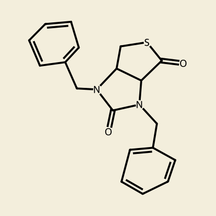 O=C1SCC2C1N(Cc1ccccc1)C(=O)N2Cc1ccccc1